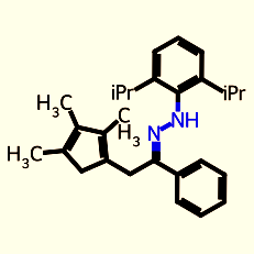 CC1=C(C)C(C)=C(CC(=NNc2c(C(C)C)cccc2C(C)C)c2ccccc2)C1